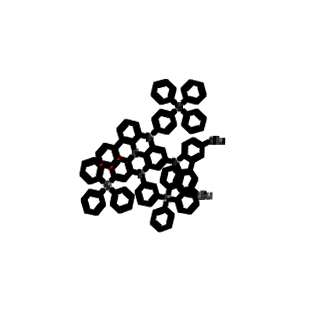 CC(C)(C)c1ccc2c(c1)c1cc(C(C)(C)C)ccc1n2-c1cc2c3c(c1)N(c1ccc([Si](c4ccccc4)(c4ccccc4)c4ccccc4)cc1)c1cccc(-c4ccccc4)c1B3c1ccc([Si](c3ccccc3)(c3ccccc3)c3ccccc3)cc1N2c1cccc([Si](c2ccccc2)(c2ccccc2)c2ccccc2)c1